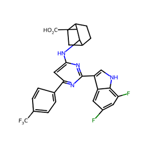 O=C(O)C1C2CCC(CC2)C1Nc1cc(-c2ccc(C(F)(F)F)cc2)nc(-c2c[nH]c3c(F)cc(F)cc23)n1